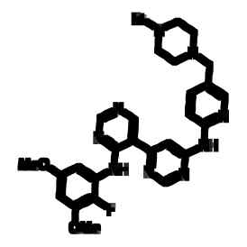 CCN1CCN(Cc2ccc(Nc3cc(-c4cncnc4Nc4cc(OC)cc(OC)c4F)ncn3)nc2)CC1